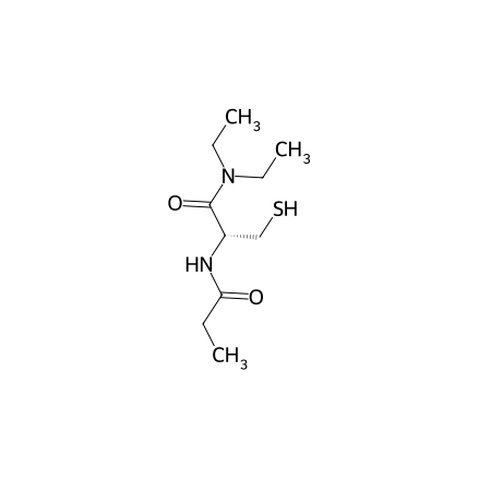 CCC(=O)N[C@@H](CS)C(=O)N(CC)CC